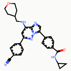 N#Cc1ccc(-c2cc(NCC3CCOCC3)c3ncc(-c4ccc(C(=O)NC5CC5)cc4)n3n2)cc1